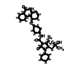 Cc1c(C(=O)Nc2ccc(Oc3ccnc4[nH]c(=O)c5ccccc5c34)cc2)c(=O)n(-c2ccccc2)n1CC(C)(C)O